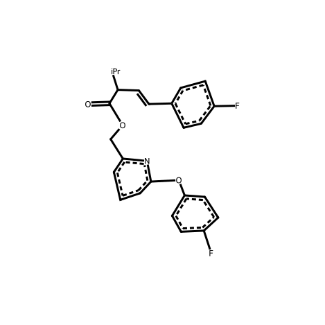 CC(C)C(C=Cc1ccc(F)cc1)C(=O)OCc1cccc(Oc2ccc(F)cc2)n1